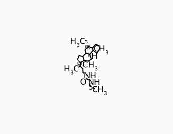 CC[C@H]1CC2C3CC[C@H]([C@H](C)CCNC(=O)NSC)C3(C)CC[C@@H]2C2(C)CCCCC12